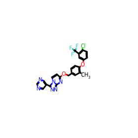 Cc1cc(COc2ccn3c(-c4cncnc4)nnc3n2)ccc1Oc1ccc(Cl)c(C(F)(F)F)c1